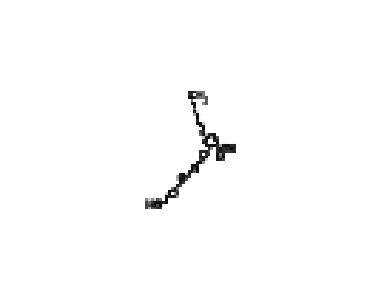 CCCCCCCCc1ccc(C(=O)O)c(COCCOCCOCCOCCO)c1